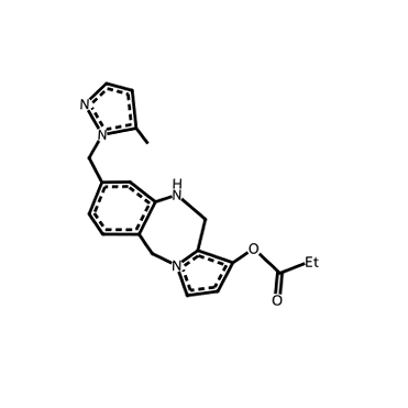 [CH2]CC(=O)Oc1ccn2c1CNc1cc(Cn3nccc3C)ccc1C2